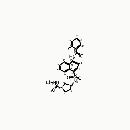 CCNC(=O)N1CCC(NS(=O)(=O)c2ccc(NC(=O)c3ccccc3C)c3ccccc23)C1